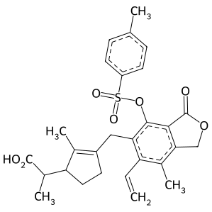 C=Cc1c(C)c2c(c(OS(=O)(=O)c3ccc(C)cc3)c1CC1=C(C)C(C(C)C(=O)O)CC1)C(=O)OC2